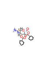 CN(C)C1=N[C@@H]2[C@@H](OC(=O)c3ccccc3)[C@H](OC(=O)c3ccccc3)[C@@H](C=O)O[C@@H]2S1